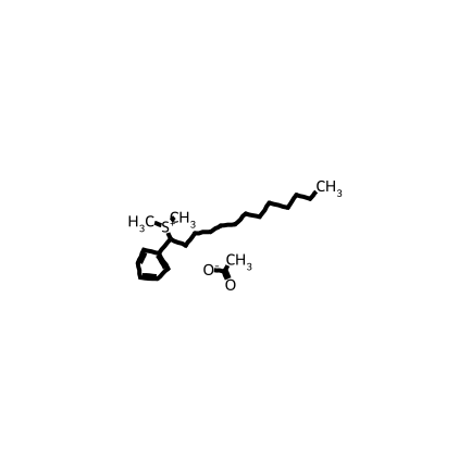 CC(=O)[O-].CCCCCCCCCCCCC(c1ccccc1)[S+](C)C